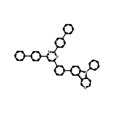 c1ccc(-c2ccc(-c3cc(-c4cccc(-c5ccc6c(c5)c5cnccc5n6-c5ccccc5)c4)nc(-c4ccc(-c5ccccc5)cc4)n3)cc2)cc1